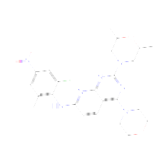 Cc1cc([N+](=O)[O-])cc(Cl)c1Nc1ccc2c(N3CCOCC3)nc(N3CC(C)OC(C)C3)nc2n1